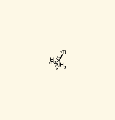 [AlH3].[Fe].[SiH3][Ti]